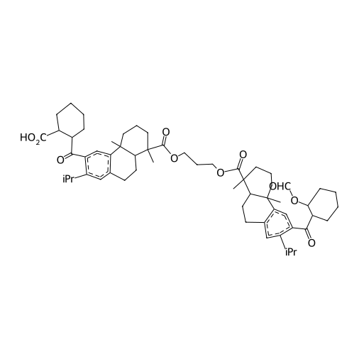 CC(C)c1cc2c(cc1C(=O)C1CCCCC1OC=O)C1(C)CCCC(C)(C(=O)OCCCOC(=O)C3(C)CCCC4(C)c5cc(C(=O)C6CCCCC6C(=O)O)c(C(C)C)cc5CCC34)C1CC2